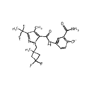 Cc1c(C(C)(F)F)nn(CC2(C)CC(F)(F)C2)c1C(=O)Nc1cc[n+]([O-])c(C(N)=O)c1